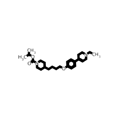 CCN1CC=C(c2ccc(OCCCCC3CCN(C(=O)OC(C)C)CC3)cc2)CC1